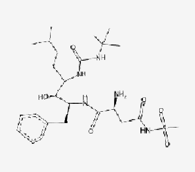 CC(C)CCC(NC(=O)NC(C)(C)C)[C@H](O)[C@H](Cc1ccccc1)NC(=O)[C@@H](N)CC(=O)NS(C)(=O)=O